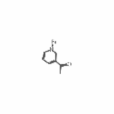 CC(=O)C1=CC=CN(Br)C1